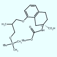 CC(COc1cccc2c1C[C@@](NC(=O)OC(C)(C)C)(C(=O)O)CC2)CO[Si](C)(C)C(C)(C)C